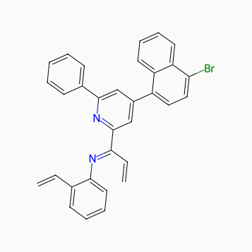 C=C/C(=N\c1ccccc1C=C)c1cc(-c2ccc(Br)c3ccccc23)cc(-c2ccccc2)n1